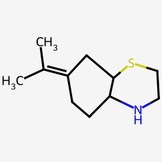 CC(C)=C1CCC2NCCSC2C1